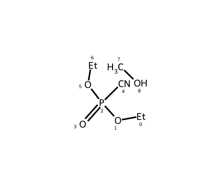 CCOP(=O)(C#N)OCC.CO